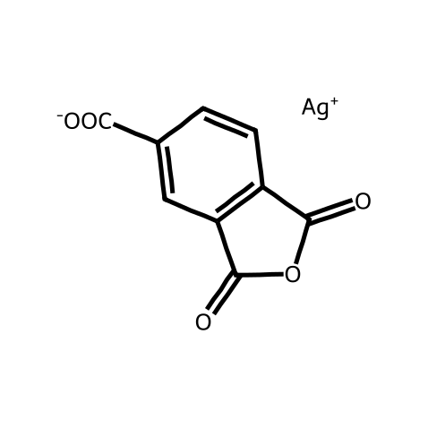 O=C([O-])c1ccc2c(c1)C(=O)OC2=O.[Ag+]